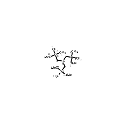 CO[Si](C)(C[SiH](C[Si](C)(OC)OC)C[Si](C)(OC)OC)OC